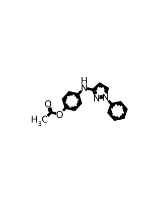 CC(=O)Oc1ccc(Nc2ccn(-c3ccccc3)n2)cc1